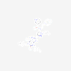 CCn1c(=O)c2[nH]c(-c3cc(N(CCN4CCOCC4)C(=O)c4cccnc4)n(C)n3)nc2n(CC)c1=O